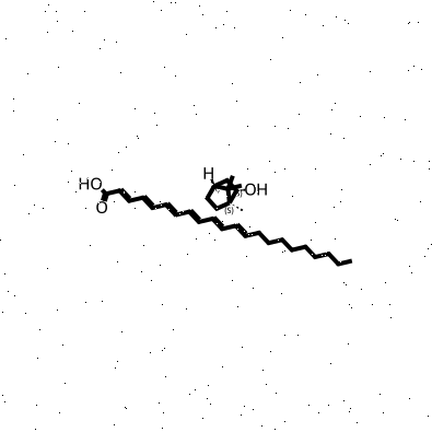 CC1(C)[C@@H]2CC[C@]1(C)[C@@H](O)C2.CCCCCCCCCC=CC=CC=CC=CC=CC=CC(=O)O